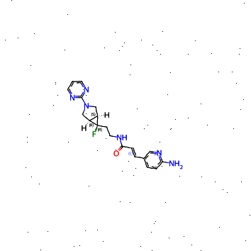 Nc1ccc(/C=C/C(=O)NCC[C@@]2(F)[C@@H]3CN(c4ncccn4)C[C@@H]32)cn1